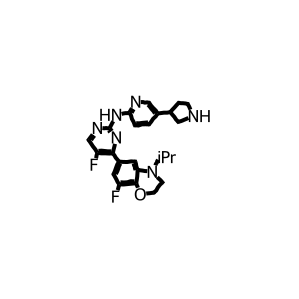 CC(C)N1CCOc2c(F)cc(-c3nc(Nc4ccc(C5CCNC5)cn4)ncc3F)cc21